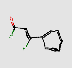 O=C(Cl)C=C(F)c1ccccc1